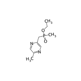 CCOP(C)(=O)Cc1cnc(C)cn1